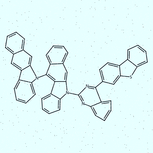 c1ccc2cc3c(cc2c1)c1ccccc1n3-c1c2ccccc2cc2c1c1ccccc1n2-c1nc(-c2ccc3c(c2)sc2ccccc23)c2ccccc2n1